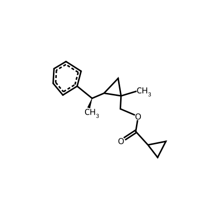 C[C@@H](c1ccccc1)C1CC1(C)COC(=O)C1CC1